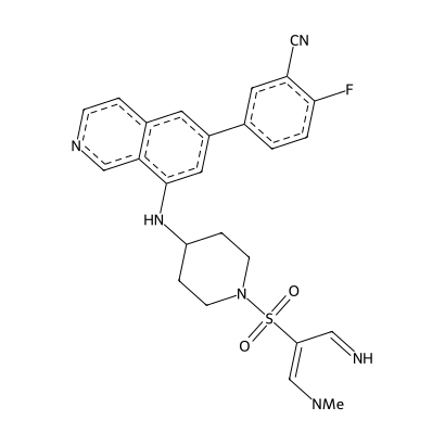 CN/C=C(\C=N)S(=O)(=O)N1CCC(Nc2cc(-c3ccc(F)c(C#N)c3)cc3ccncc23)CC1